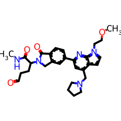 CNC(=O)C(CCC=O)N1Cc2cc(-c3cc(CN4CCCC4)c4ccn(CCOC)c4n3)ccc2C1=O